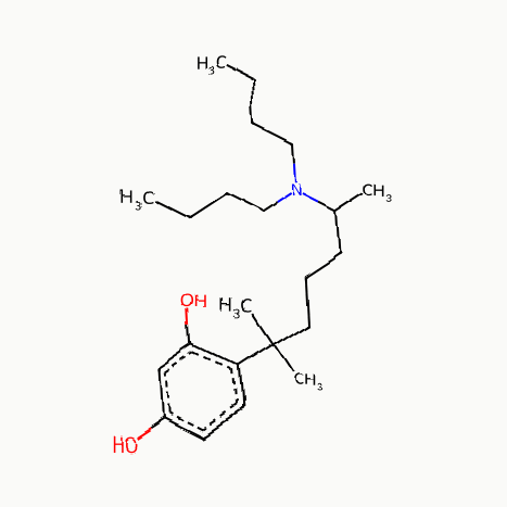 CCCCN(CCCC)C(C)CCCC(C)(C)c1ccc(O)cc1O